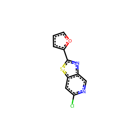 Clc1cc2sc(-c3ccco3)nc2cn1